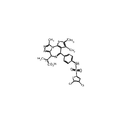 Cc1sc2c(c1C)C(c1ccc(NS(=O)(=O)c3cc(Cl)c(Cl)s3)cc1)=NC([C@H](C)C(=O)O)c1nnc(C)n1-2